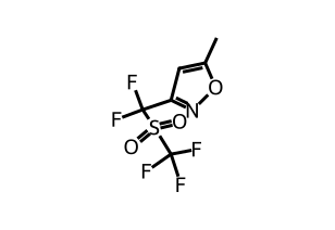 Cc1cc(C(F)(F)S(=O)(=O)C(F)(F)F)no1